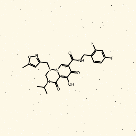 Cc1cc(CN2CN(C(C)C)C(=O)c3c(O)c(=O)c(C(=O)NCc4ccc(F)cc4F)cn32)no1